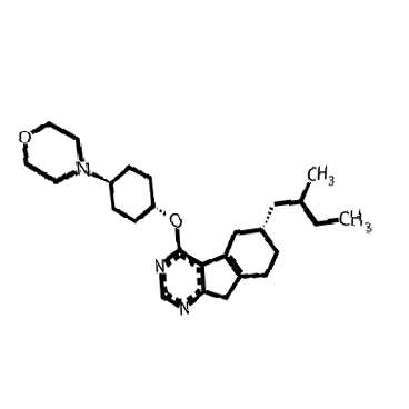 CCC(C)C[C@@H]1CCC2=C(C1)c1c(ncnc1O[C@H]1CC[C@H](N3CCOCC3)CC1)C2